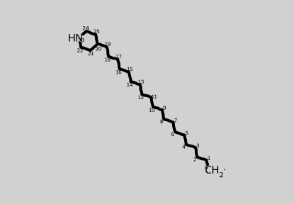 [CH2]CCCCCCCCCCCCCCCCCCCC1CCNCC1